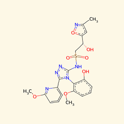 COC1=NC(c2nnc(NS(=O)(=O)C[C@@H](O)c3cc(C)no3)n2-c2c(O)cccc2OC)=C=C=C1